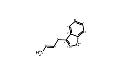 NC=CCc1noc2ccccc12